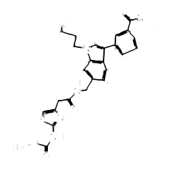 CC(C)(C)OC(=O)Nc1nc(CC(=O)NCc2ccc3c(-c4cccc(C(N)=S)c4)cn(CCCC(F)(F)F)c3c2)cs1